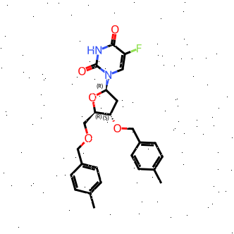 Cc1ccc(COC[C@H]2O[C@@H](n3cc(F)c(=O)[nH]c3=O)C[C@@H]2OCc2ccc(C)cc2)cc1